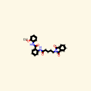 CCOc1ccccc1NC(=O)c1ccccc1NC(=O)CCCCN1C(=O)c2ccccc2C1=O